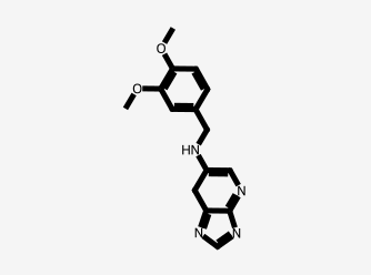 COc1ccc(CNC2=CN=C3N=CN=C3C2)cc1OC